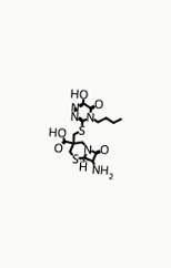 CCCCn1c(SCC2(C(=O)O)CS[C@@H]3C(N)C(=O)N3C2)nnc(O)c1=O